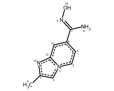 Cc1cn2ccc(C(N)=NO)cc2n1